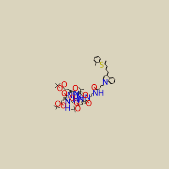 C=C(C=CC=C1C=CN(CCCC(=O)NCCNC(=O)[C@@H](CC(=O)OC(C)(C)C)NC(=O)[C@H](NC(=O)[C@@H](CCC(=O)OC(C)(C)C)NC(=O)[C@@H](CC(=O)OC(C)(C)C)NC(C)=O)C(C)C)c2ccccc21)Sc1ccccc1C